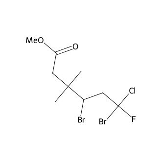 COC(=O)CC(C)(C)C(Br)CC(F)(Cl)Br